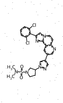 CN(C)S(=O)(=O)N1CCC(n2cc(-c3cnc4ccn5cc(-c6c(Cl)cccc6Cl)nc5c4c3)cn2)C1